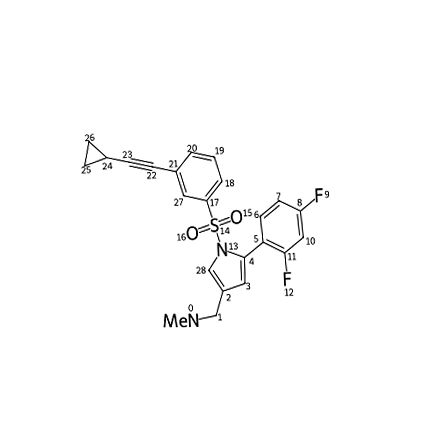 CNCc1cc(-c2ccc(F)cc2F)n(S(=O)(=O)c2cccc(C#CC3CC3)c2)c1